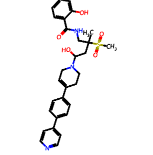 CC(CNC(=O)c1ccccc1O)(CC(O)N1CC=C(c2ccc(-c3ccncc3)cc2)CC1)S(C)(=O)=O